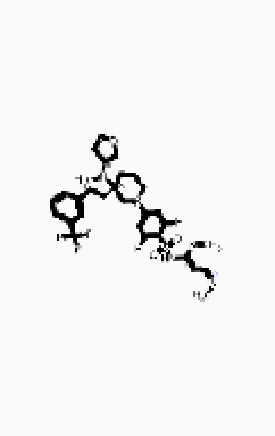 C=N/C(=C\C=N/C)NS(=O)(=O)c1c(F)cc(N2CCC[C@@](CCc3cccc(C(F)(F)F)c3)(N(C)[C@H]3CCOC3)C2)cc1F